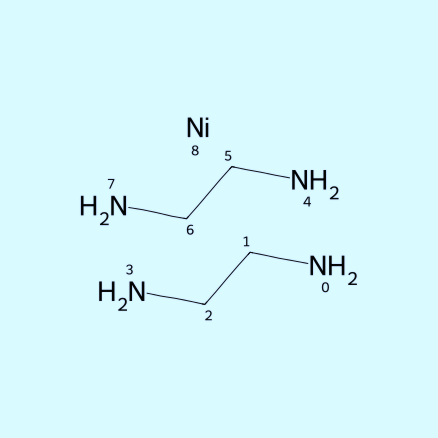 NCCN.NCCN.[Ni]